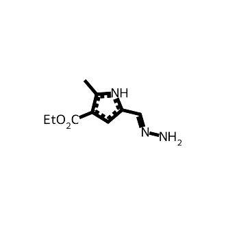 CCOC(=O)c1cc(C=NN)[nH]c1C